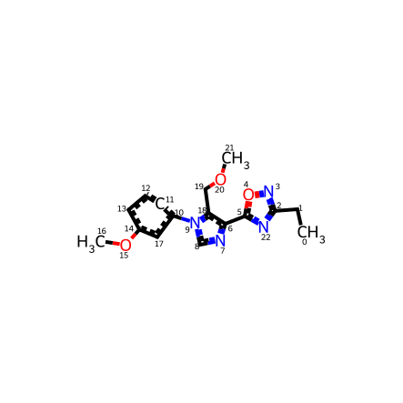 CCc1noc(-c2ncn(-c3cccc(OC)c3)c2COC)n1